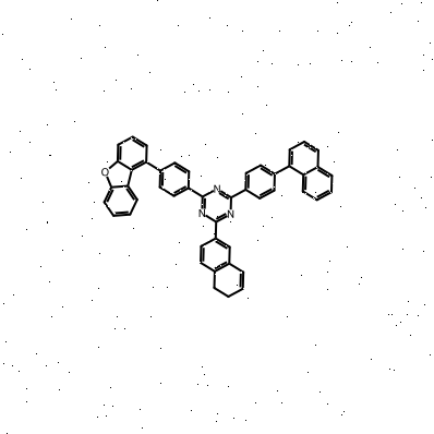 C1=Cc2cc(-c3nc(-c4ccc(-c5cccc6ccccc56)cc4)nc(-c4ccc(-c5cccc6oc7ccccc7c56)cc4)n3)ccc2CC1